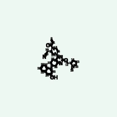 C=CC(=O)N1CCN(c2nc(OC[C@@H]3CCCN3C)nc3c2CC[C@H](c2cc(O)cc4ccccc24)C3)C[C@@H]1CC#N